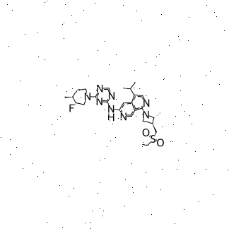 CCS(=O)(=O)C[C@H]1CN(c2ncc(C(C)C)c3cc(Nc4ncnc(N5CC[C@H](C)[C@@H](F)C5)n4)ncc23)[C@@H]1C